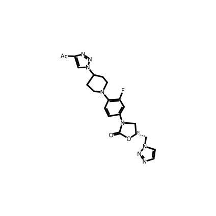 CC(=O)c1cn(C2CCN(c3ccc(N4C[C@H](Cn5ccnn5)OC4=O)cc3F)CC2)nn1